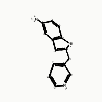 Nc1ccc2[nH]c(Cc3cccnc3)cc2c1